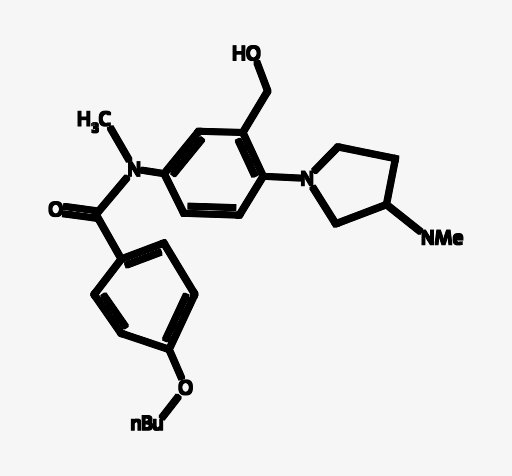 CCCCOc1ccc(C(=O)N(C)c2ccc(N3CCC(NC)C3)c(CO)c2)cc1